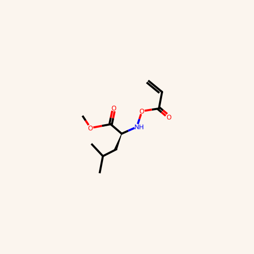 C=CC(=O)ON[C@@H](CC(C)C)C(=O)OC